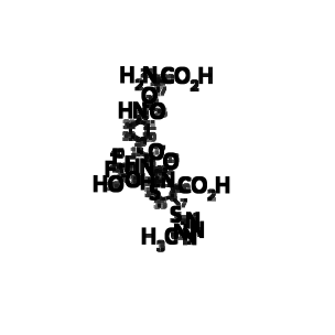 Cn1nnnc1SCC1=C(C(=O)O)N2C(=O)[C@@H](NC(=O)Cc3ccc(NC(=O)OC[C@H](N)C(=O)O)cc3)[C@H]2SC1.O=C(O)C(F)(F)F